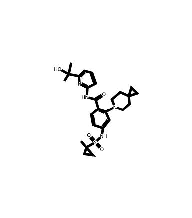 CC(C)(O)c1cccc(NC(=O)c2ccc(NS(=O)(=O)C3(C)CC3)cc2N2CCC3(CC2)CC3)n1